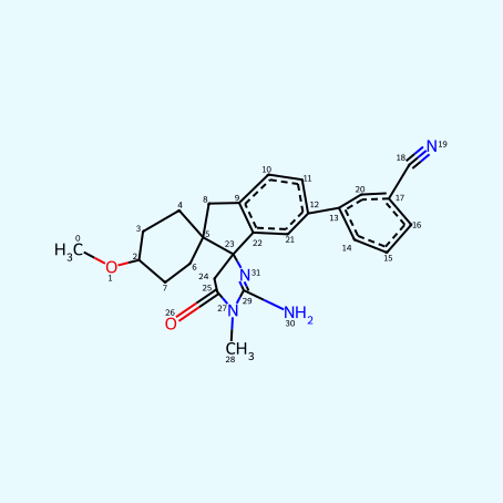 COC1CCC2(CC1)Cc1ccc(-c3cccc(C#N)c3)cc1C21CC(=O)N(C)C(N)=N1